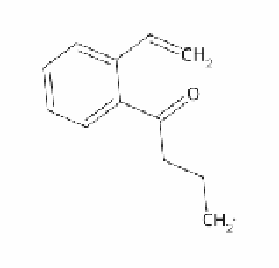 [CH2]CCC(=O)c1ccccc1C=C